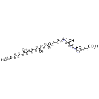 O=C(O)CCC[C@H](O)\C=C/C=C/C=C/[C@H](O)C/C=C\CCCCCOC(=O)CCCC(O)C=CC=CC=CC(O)CC=CCCCCCO